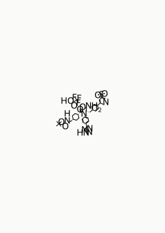 CC(C)(C)OC(=O)NC[C@H]1CC[C@H](C(=O)N(c2ccc(-c3nn[nH]n3)cc2)[C@@H](Cc2ccc(-c3cncc(S(C)(=O)=O)c3)cc2)C(N)=O)CC1.O=C(O)C(F)(F)F